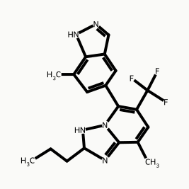 CCCC1N=C2C(C)=CC(C(F)(F)F)=C(c3cc(C)c4[nH]ncc4c3)N2N1